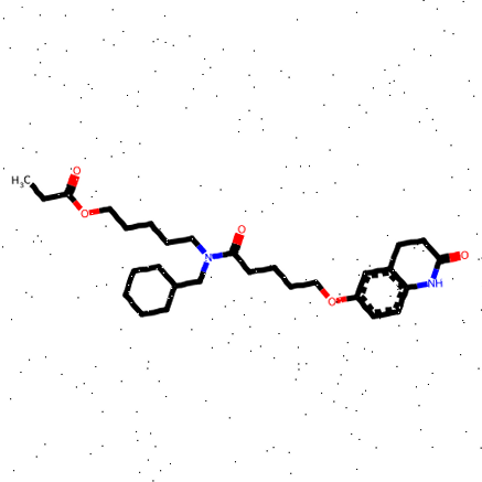 CCC(=O)OCCCCCN(CC1CCCCC1)C(=O)CCCCOc1ccc2c(c1)CCC(=O)N2